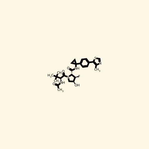 CC(=O)N[C@H](C(=O)N1C[C@H](O)[C@H](F)[C@H]1C(=O)NC1(c2ccc(-c3scnc3C)cc2)CC1)C(C)(C)C